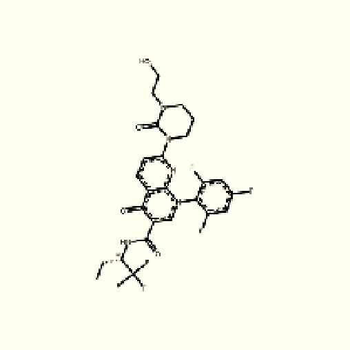 CC[C@H](NC(=O)c1cn(-c2c(F)cc(F)cc2F)c2nc(N3CCCN(CCO)C3=O)ccc2c1=O)C(F)(F)F